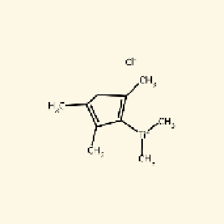 CC1=C(C)[C]([Ti+]([CH3])[CH3])=C(C)C1.[Cl-]